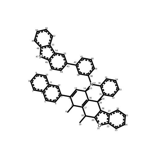 CC1C(c2ccc3ccccc3c2)=CC2(C)C3=C1C(C)c1oc4ccccc4c1C3(C)c1ccccc1N2c1cccc(-c2ccc3sc4ccccc4c3c2)c1